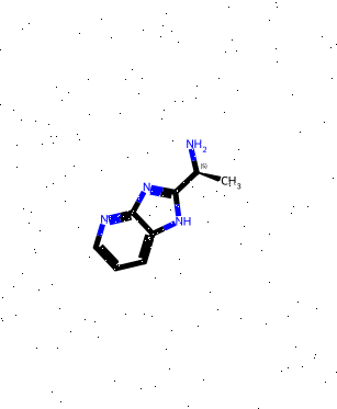 C[C@H](N)c1nc2ncccc2[nH]1